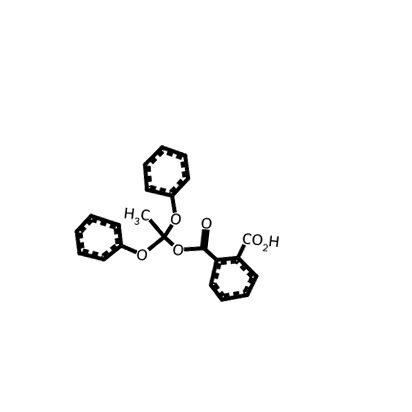 CC(OC(=O)c1ccccc1C(=O)O)(Oc1ccccc1)Oc1ccccc1